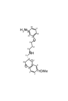 COc1ccc2c(c1)O[C@@H](CNCCCOc1cccc(N)c1)CO2